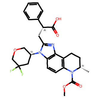 COC(=O)N1c2ccc3c(nc(C[C@@H](C(=O)O)c4ccccc4)n3[C@@H]3COCC(F)(F)C3)c2CC[C@@H]1C